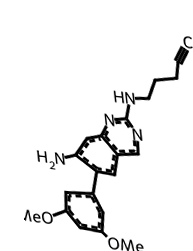 C#CCCCNc1ncc2cc(-c3cc(OC)cc(OC)c3)c(N)cc2n1